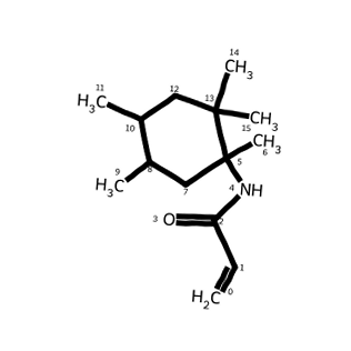 C=CC(=O)NC1(C)CC(C)C(C)CC1(C)C